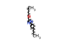 CCCCCCOCc1cnc(C2CCC(CCCCC)CC2)nc1